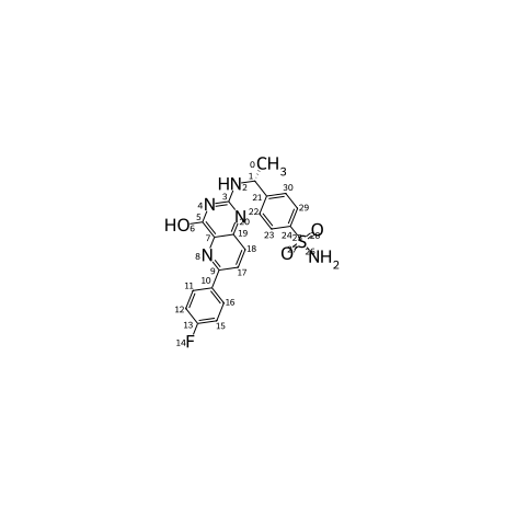 C[C@@H](Nc1nc(O)c2nc(-c3ccc(F)cc3)ccc2n1)c1ccc(S(N)(=O)=O)cc1